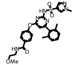 COCCNC(=O)c1ccc(Oc2cc(-c3c(C)cccc3C)nc(NS(=O)(=O)c3cnn(C)c3)n2)cc1